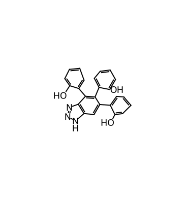 Oc1ccccc1-c1cc2[nH]nnc2c(-c2ccccc2O)c1-c1ccccc1O